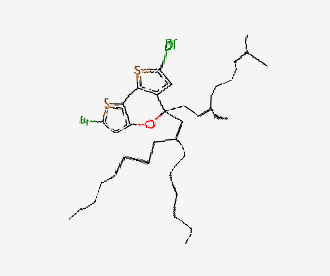 CCCCCCCCC(CCCCCC)CC1(CCC(C)CCCC(C)C)Oc2cc(Br)sc2-c2sc(Br)cc21